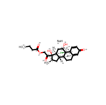 C[C@@H]1C[C@H]2[C@@H]3CCC4=CC(=O)C=C[C@]4(C)[C@@]3(F)[C@@H](O)C[C@]2(C)[C@@]1(O)C(=O)COC(=O)CCS(=O)(=O)O.[NaH]